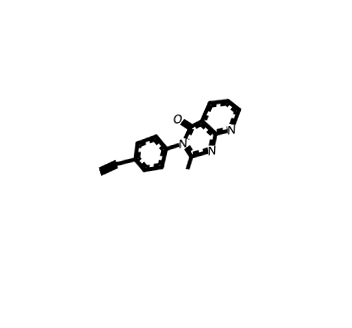 C#Cc1ccc(-n2c(C)nc3ncccc3c2=O)cc1